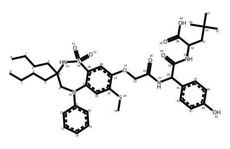 CCCCC1(CCCC)CN(c2ccccc2)c2cc(SC)c(OCC(=O)NC(C(=O)NC(CC(C)(C)C)C(=O)O)c3ccc(O)cc3)cc2S(=O)(=O)N1